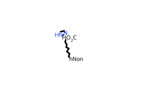 C1=NCCN1.CCCCCCCCCCCCCCCCCC(=O)O